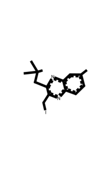 Cc1ccc2nc(CI)c(CC(C)(C)C)nc2c1